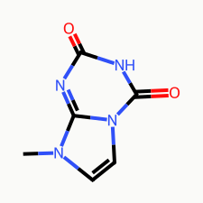 Cn1ccn2c(=O)[nH]c(=O)nc12